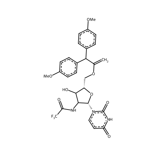 C=C(OC[C@@H]1O[C@H](n2ccc(=O)[nH]c2=O)C(NC(=O)C(F)(F)F)C1O)C(c1ccc(OC)cc1)c1ccc(OC)cc1